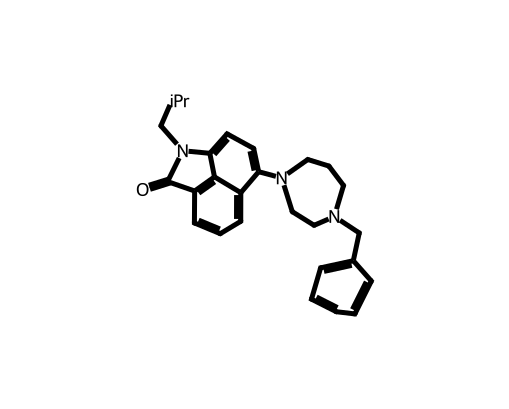 CC(C)CN1C(=O)c2cccc3c(N4CCCN(Cc5ccccc5)CC4)ccc1c23